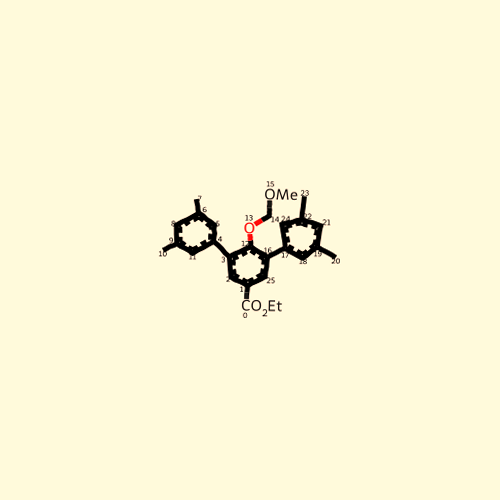 CCOC(=O)c1cc(-c2cc(C)cc(C)c2)c(OCOC)c(-c2cc(C)cc(C)c2)c1